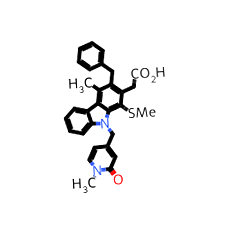 CSc1c(CC(=O)O)c(Cc2ccccc2)c(C)c2c3ccccc3n(Cc3ccn(C)c(=O)c3)c12